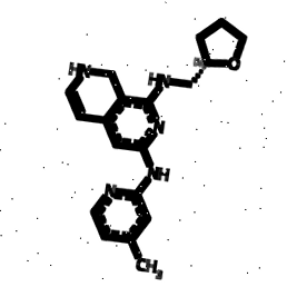 Cc1ccnc(Nc2cc3c(c(NC[C@@H]4CCCO4)n2)CNC=C3)c1